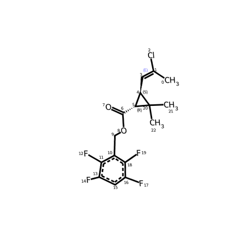 C/C(Cl)=C\[C@@H]1[C@@H](C(=O)OCc2c(F)c(F)cc(F)c2F)C1(C)C